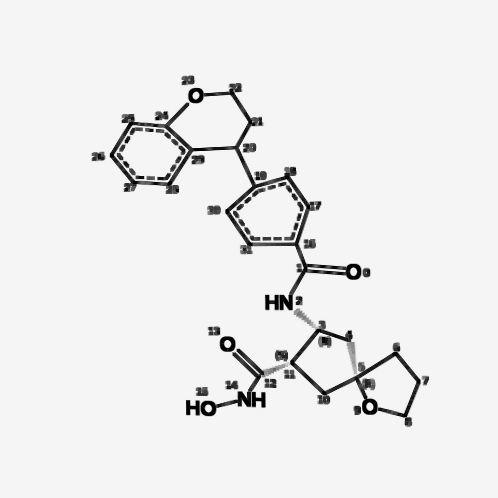 O=C(N[C@@H]1C[C@@]2(CCCO2)C[C@@H]1C(=O)NO)c1ccc(C2CCOc3ccccc32)cc1